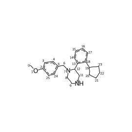 COc1ccc(CN2CCNCC2c2ccccc2C2CCCC2)cc1